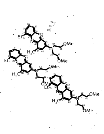 CCc1cccc2[s+]c3cc(N(CCOC)CCOC)cc(C)c3nc12.CCc1cccc2[s+]c3cc(N(CCOC)CCOC)cc(C)c3nc12.CCc1cccc2[s+]c3cc(N(CCOC)CCOC)cc(C)c3nc12.[I-].[I-].[I-]